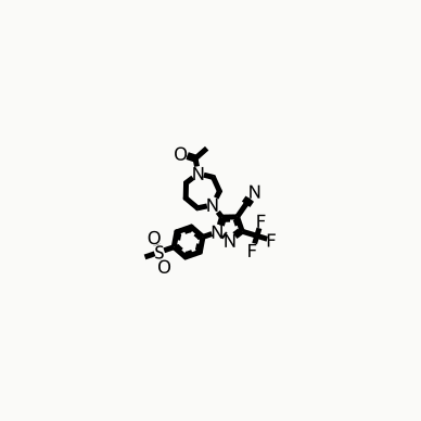 CC(=O)N1CCCN(c2c(C#N)c(C(F)(F)F)nn2-c2ccc(S(C)(=O)=O)cc2)CC1